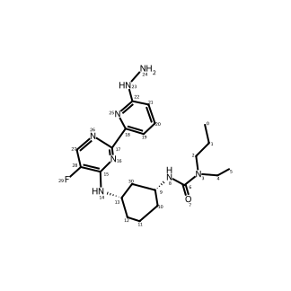 CCCN(CC)C(=O)N[C@@H]1CCC[C@H](Nc2nc(-c3cccc(NN)n3)ncc2F)C1